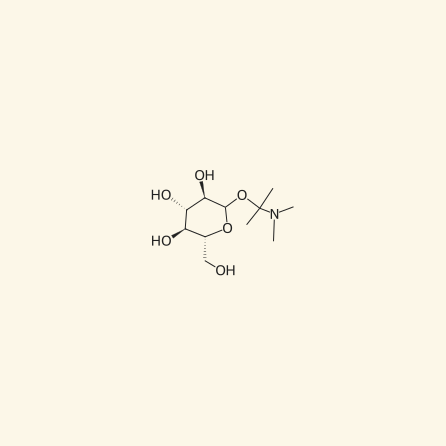 CN(C)C(C)(C)OC1O[C@H](CO)[C@@H](O)[C@H](O)[C@H]1O